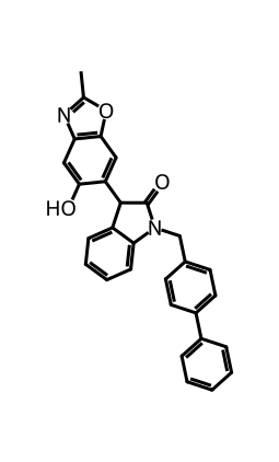 Cc1nc2cc(O)c(C3C(=O)N(Cc4ccc(-c5ccccc5)cc4)c4ccccc43)cc2o1